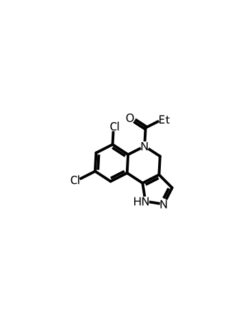 CCC(=O)N1Cc2cn[nH]c2-c2cc(Cl)cc(Cl)c21